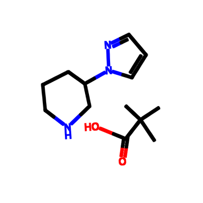 CC(C)(C)C(=O)O.c1cnn(C2CCCNC2)c1